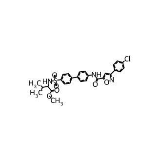 COC(=O)C(NS(=O)(=O)c1ccc(-c2ccc(NC(=O)c3cc(-c4ccc(Cl)cc4)no3)cc2)cc1)C(C)C